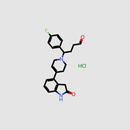 Cl.O=CCCC(c1ccc(F)cc1)N1CC=C(c2cccc3c2CC(=O)N3)CC1